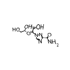 C[C@H](O)[C@@H](OC(O)CO)n1cnc(C(N)=O)n1